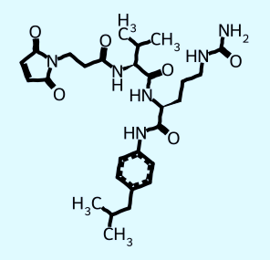 CC(C)Cc1ccc(NC(=O)[C@H](CCCNC(N)=O)NC(=O)[C@@H](NC(=O)CCN2C(=O)C=CC2=O)C(C)C)cc1